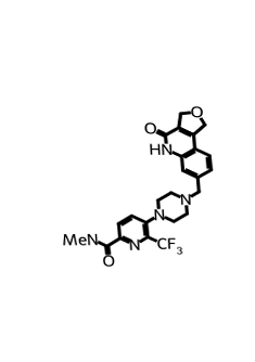 CNC(=O)c1ccc(N2CCN(Cc3ccc4c5c(c(=O)[nH]c4c3)COC5)CC2)c(C(F)(F)F)n1